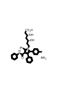 CC(C)c1c(C(=O)Nc2ccccc2)c(-c2ccccc2)c(-c2ccc(F)cc2)n1CC[C@@H](O)C[C@@H](O)CC(=O)O.[AlH3]